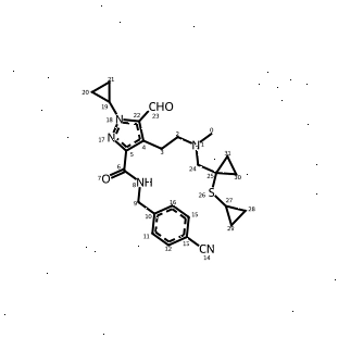 CN(CCc1c(C(=O)NCc2ccc(C#N)cc2)nn(C2CC2)c1C=O)CC1(SC2CC2)CC1